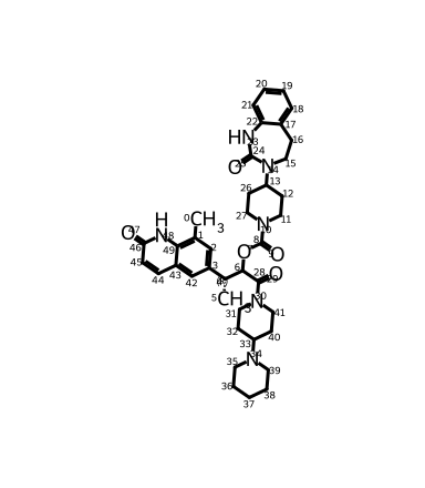 Cc1cc([C@@H](C)C(OC(=O)N2CCC(N3CCc4ccccc4NC3=O)CC2)C(=O)N2CCC(N3CCCCC3)CC2)cc2ccc(=O)[nH]c12